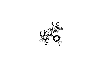 CCn1c(=O)[nH]nc(Br)c1=O.CCn1c(=O)c(Br)nn(Cc2ccc(OC)cc2)c1=O